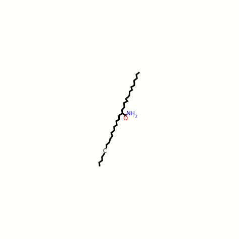 CCCCCCCCCCCCCCCCC=CC(CCCCCCCCCCCCCC)C(N)=O